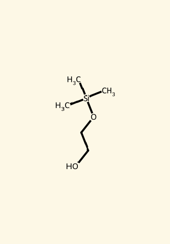 C[Si](C)(C)OCCO